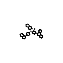 Cc1cc2c(cc1N(c1ccc(-c3cccc4ccccc34)cc1)c1ccc(-c3cc4ccccc4c4ccccc34)cc1)CCCC2